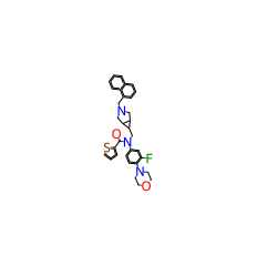 O=C(c1cccs1)N(CC1C2CN(Cc3cccc4ccccc34)CC21)c1ccc(N2CCOCC2)c(F)c1